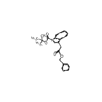 CC(C)(C)OC(=O)n1cc(CC(=O)OCc2ccccc2)c2ccccc21